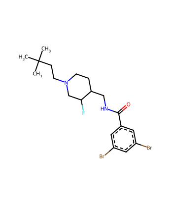 CC(C)(C)CCN1CCC(CNC(=O)c2cc(Br)cc(Br)c2)C(F)C1